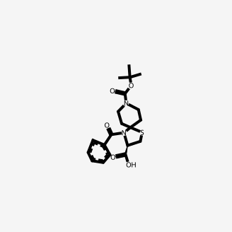 CC(C)(C)OC(=O)N1CCC2(CC1)SC[C@@H](C(=O)O)N2C(=O)c1ccccc1